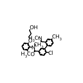 C/N=C/c1cc(C)ccc1-c1cc(C(=O)N(C)c2c(C)cccc2OCCCO)ccc1Cl